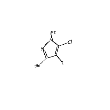 CCn1nc(C(C)(C)C)c(I)c1Cl